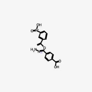 C=C(O/C(=N\N)c1ccc(C(=O)O)cc1)c1cccc([N+](=O)O)c1